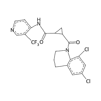 O=C(Nc1ccncc1C(F)(F)F)C1CC1C(=O)N1CCCc2cc(Cl)cc(Cl)c21